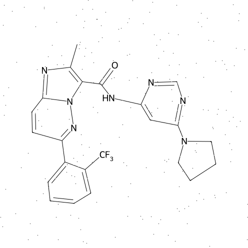 Cc1nc2ccc(-c3ccccc3C(F)(F)F)nn2c1C(=O)Nc1cc(N2CCCC2)ncn1